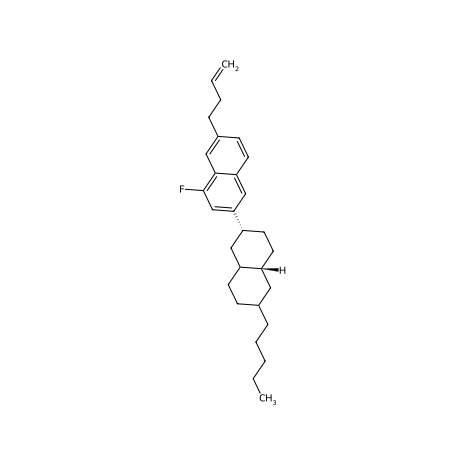 C=CCCc1ccc2cc([C@@H]3CC[C@@H]4CC(CCCCC)CCC4C3)cc(F)c2c1